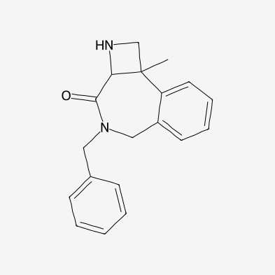 CC12CNC1C(=O)N(Cc1ccccc1)Cc1ccccc12